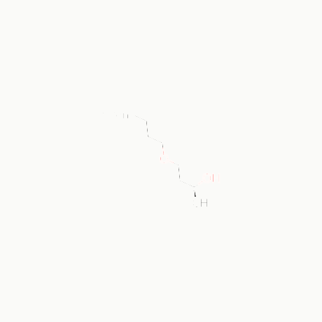 CCCCCCCCOCC[C@H](C)O